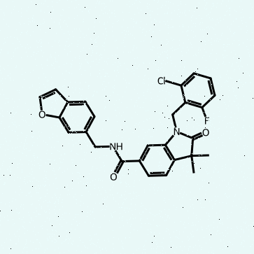 CC1(C)C(=O)N(Cc2c(F)cccc2Cl)c2cc(C(=O)NCc3ccc4ccoc4c3)ccc21